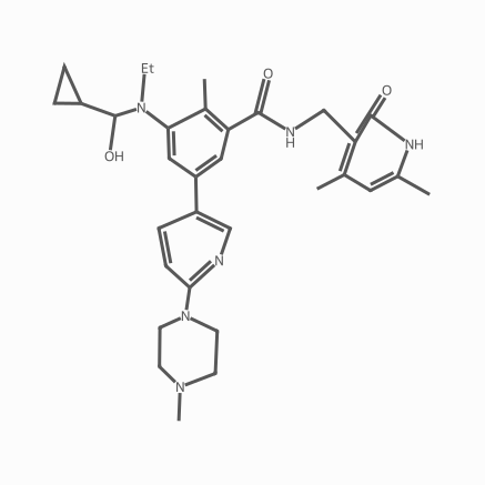 CCN(c1cc(-c2ccc(N3CCN(C)CC3)nc2)cc(C(=O)NCc2c(C)cc(C)[nH]c2=O)c1C)C(O)C1CC1